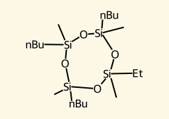 CCCC[Si]1(C)O[Si](C)(CC)O[Si](C)(CCCC)O[Si](C)(CCCC)O1